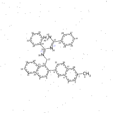 Cc1ccc2cc(-c3ccc4ccccc4c3C/N=C(\N=C(/N)c3ccccc3)c3ccccc3)ccc2c1